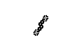 CC(C)[Si](c1cc2cc3ccc4c5cc6c(cc([Si](C(C)C)(C(C)C)C(C)C)n6C)cc5ccc4c3cc2n1C)(C(C)C)C(C)C